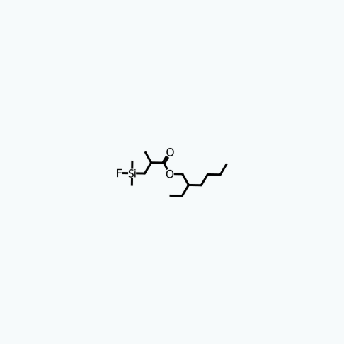 CCCCC(CC)COC(=O)C(C)C[Si](C)(C)F